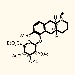 CCCN1CCC[C@@H]2Cc3c(ccc(OC)c3O[C@@H]3O[C@H](C(=O)OCC)[C@@H](OC(C)=O)[C@H](OC(C)=O)[C@H]3OC(C)=O)C[C@H]21